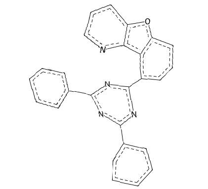 c1ccc(-c2nc(-c3ccccc3)nc(-c3cccc4oc5cccnc5c34)n2)cc1